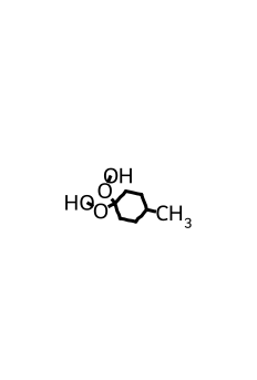 CC1CCC(OO)(OO)CC1